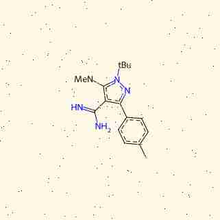 CNc1c(C(=N)N)c(-c2ccc(C)cc2)nn1C(C)(C)C